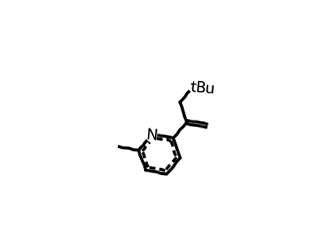 C=C(CC(C)(C)C)c1cccc(C)n1